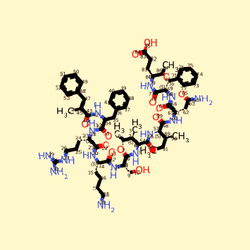 CC[C@H](C)[C@H](NC(=O)[C@H](CO)NC(=O)[C@H](CCCCN)NC(=O)[C@H](CCCNC(=N)N)NC(=O)C(Cc1ccccc1)NC(=O)C(C)Cc1ccccc1)C(=O)N[C@H](C(=O)N[C@@H](CC(N)=O)C(=O)N[C@@H](Cc1ccccc1)C(=O)N[C@@H](CCC(=O)O)C(C)=O)[C@@H](C)CC